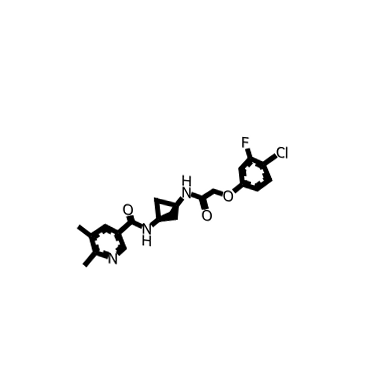 Cc1cc(C(=O)NC23CC(NC(=O)COc4ccc(Cl)c(F)c4)(C2)C3)cnc1C